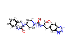 O=CC(Cc1ccc2[nH]nnc2c1)NC(=O)N1CCC(N2Cc3ccccc3NC2=O)CC1